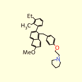 CCc1cccc(-c2ccc3cc(OC)ccc3c2Cc2ccc(OCCN3CCCCC3)cc2)c1C